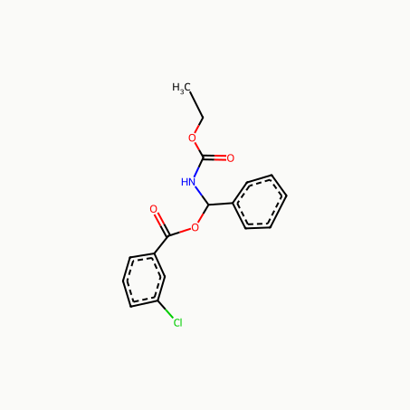 CCOC(=O)NC(OC(=O)c1cccc(Cl)c1)c1ccccc1